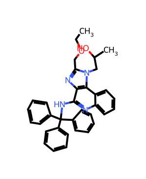 CCOCc1nc2c(NC(c3ccccc3)(c3ccccc3)c3ccccc3)nc3ccccc3c2n1CC(C)O